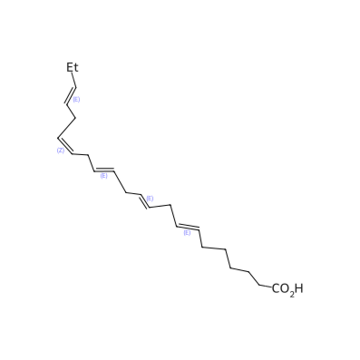 CC/C=C/C/C=C\C/C=C/C/C=C/C/C=C/CCCCCC(=O)O